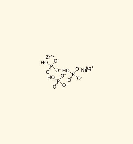 O=P([O-])([O-])O.O=P([O-])([O-])O.O=P([O-])([O-])O.[Ag+].[Na+].[Zr+4]